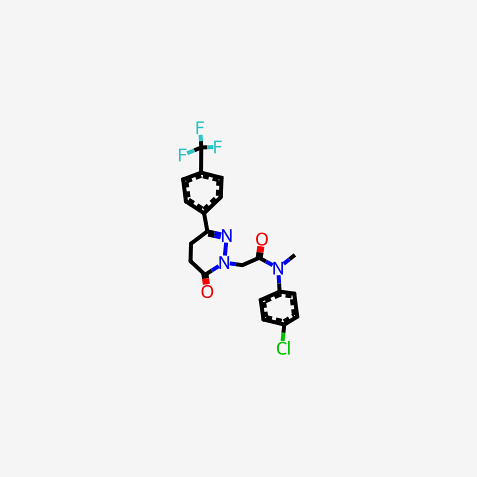 CN(C(=O)CN1N=C(c2ccc(C(F)(F)F)cc2)CCC1=O)c1ccc(Cl)cc1